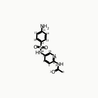 CC(=O)Nc1ccc(NS(=O)(=O)c2ccc(N)cc2)cn1